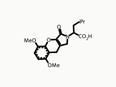 COc1ccc(OC)c2c1CC1=C(O2)C(=O)N(C(CC(C)C)C(=O)O)C1